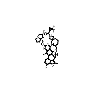 Cc1sc2c(F)ccc(-c3c(Cl)c4c5c(nc(OC[C@@]67CCCN6C[C@H](F)C7)nc5c3F)N3CC5(CCCC3CO4)CN(C(=O)C3CC3(F)F)C5)c2c1C#N